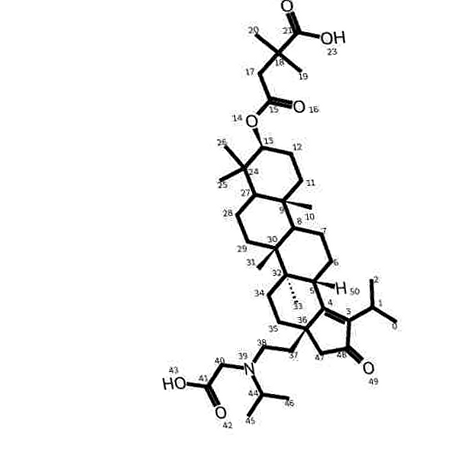 CC(C)C1=C2[C@H]3CCC4[C@@]5(C)CC[C@H](OC(=O)CC(C)(C)C(=O)O)C(C)(C)C5CC[C@@]4(C)[C@]3(C)CC[C@@]2(CCN(CC(=O)O)C(C)C)CC1=O